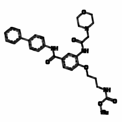 CC(C)(C)OC(=O)NCCCOc1ccc(C(=O)Nc2ccc(-c3ccccc3)cc2)cc1NC(=O)CN1CCOCC1